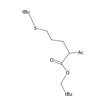 CC(=O)C(CCCSC(C)(C)C)C(=O)OCC(C)(C)C